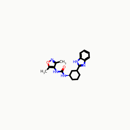 Cc1noc(C)c1NC(=O)N[C@@H]1CCCC(c2nc3ccccc3[nH]2)C1